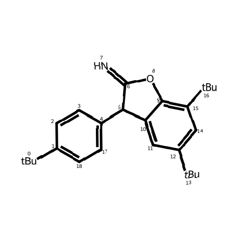 CC(C)(C)c1ccc(C2C(=N)Oc3c2cc(C(C)(C)C)cc3C(C)(C)C)cc1